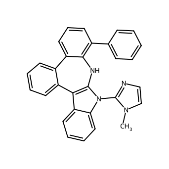 Cn1ccnc1-n1c2c(c3ccccc31)-c1ccccc1-c1cccc(-c3ccccc3)c1N2